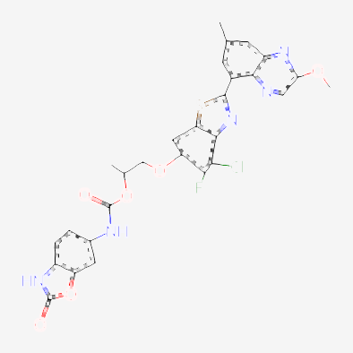 COc1cnc2c(-c3nc4c(Cl)c(F)c(OCC(C)OC(=O)Nc5ccc6[nH]c(=O)oc6c5)cc4s3)cc(C)cc2n1